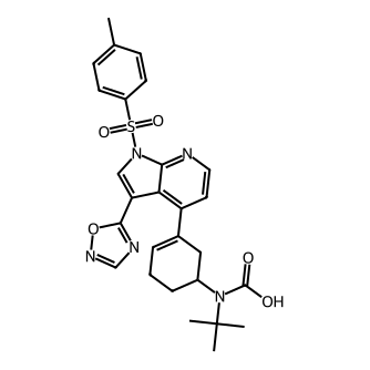 Cc1ccc(S(=O)(=O)n2cc(-c3ncno3)c3c(C4=CCCC(N(C(=O)O)C(C)(C)C)C4)ccnc32)cc1